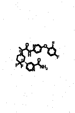 C[C@@H](C(=O)Nc1ccc(Oc2ccc(F)cc2F)cn1)N1CCC(F)(F)[C@@H](c2ccnc(C(N)=O)c2)C1